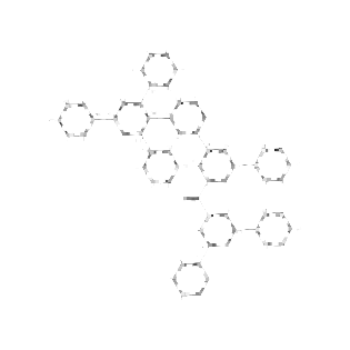 O=C(c1cc(-c2ccccc2)cc(-c2ccccc2)c1)c1cc(-c2ccccc2)cc(-c2cccc(-c3c(-c4ccccc4)cc(-c4ccccc4)cc3-c3ccccc3)c2)c1